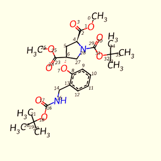 COC(=O)[C@@H]1C[C@](Oc2ccccc2CNC(=O)OC(C)(C)C)(C(=O)OC)CN1C(=O)OC(C)(C)C